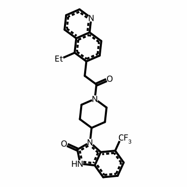 CCc1c(CC(=O)N2CCC(n3c(=O)[nH]c4cccc(C(F)(F)F)c43)CC2)ccc2ncccc12